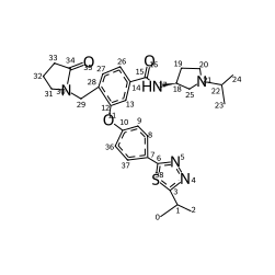 CC(C)c1nnc(-c2ccc(Oc3cc(C(=O)N[C@H]4CCN(C(C)C)C4)ccc3CN3CCCC3=O)cc2)s1